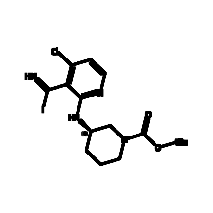 CC(C)(C)OC(=O)N1CCC[C@@H](Nc2nccc(Cl)c2C(=N)I)C1